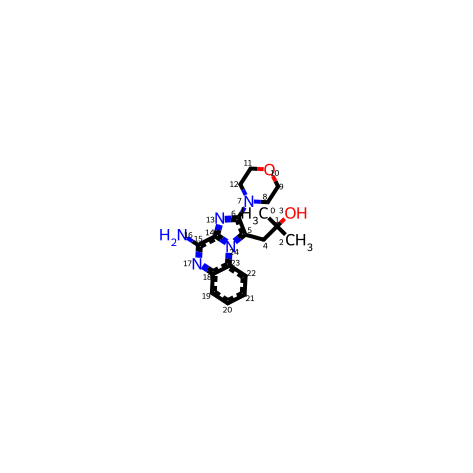 CC(C)(O)Cc1c(N2CCOCC2)nc2c(N)nc3ccccc3n12